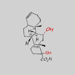 C[C@]12CCC=CC1CC[C@@H]1[C@H]2C(O)C[C@@]2(C)[C@H]1CCC2(O)C(=O)O